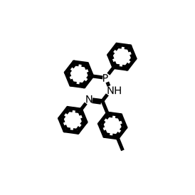 Cc1ccc(/C(=N\c2ccccc2)NP(c2ccccc2)c2ccccc2)cc1